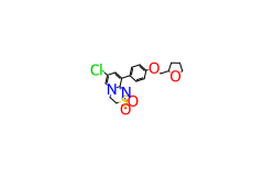 O=S1(=O)CCN2C=C(Cl)C=C(c3ccc(OCC4CCCO4)cc3)C2=N1